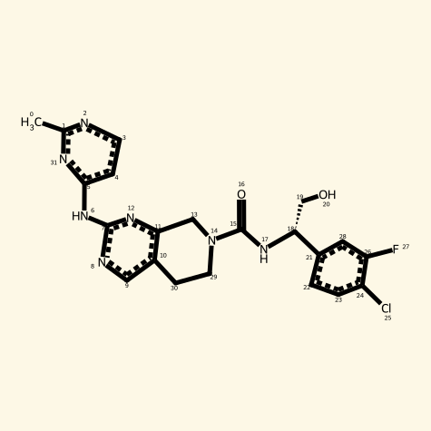 Cc1nccc(Nc2ncc3c(n2)CN(C(=O)N[C@H](CO)c2ccc(Cl)c(F)c2)CC3)n1